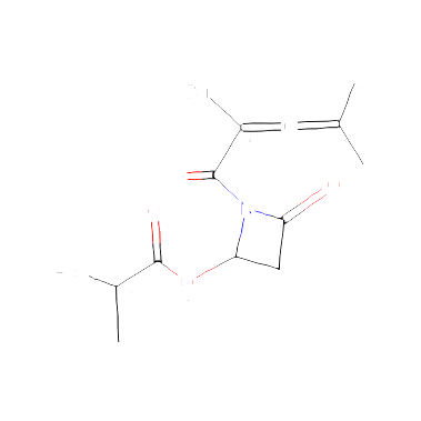 CC(C)=C=C(C(=O)N1C(=O)CC1OC(=O)C(C)C(F)(F)F)C(C)(C)C